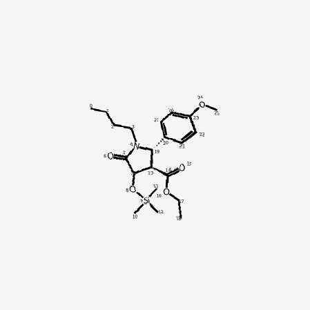 CCCCN1C(=O)C(O[Si](C)(C)C)[C@H](C(=O)OCC)[C@H]1c1ccc(OC)cc1